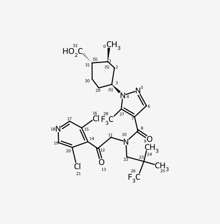 C[C@H]1C[C@@H](n2ncc(C(=O)N(CC(=O)c3c(Cl)cncc3Cl)CC(C)(C)C(F)(F)F)c2C(F)(F)F)CC[C@@H]1C(=O)O